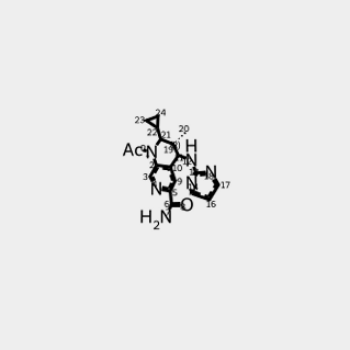 CC(=O)N1c2cnc(C(N)=O)cc2C(Nc2ncccn2)[C@@H](C)C1C1CC1